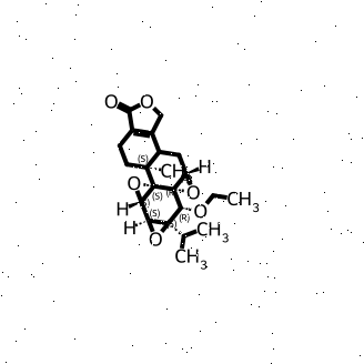 CCO[C@@H]1[C@@]2(C(C)C)O[C@H]2[C@@H]2O[C@]23[C@]12O[C@H]2CC1C2=C(CC[C@@]13C)C(=O)OC2